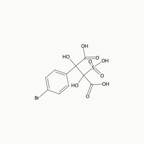 O=C(O)C(O)(c1ccc(Br)cc1)C(O)(C(=O)O)S(=O)(=O)O